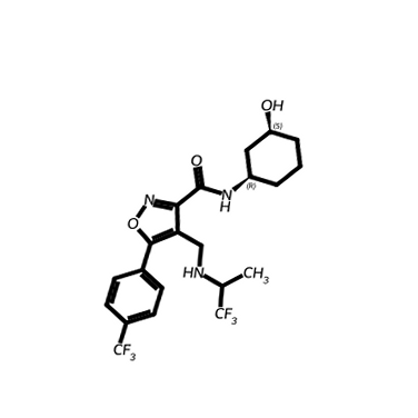 CC(NCc1c(C(=O)N[C@@H]2CCC[C@H](O)C2)noc1-c1ccc(C(F)(F)F)cc1)C(F)(F)F